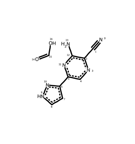 N#Cc1ncc(-c2cc[nH]n2)nc1N.O=CO